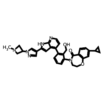 CN1CC(n2cc(-c3cc4c(-c5cccc(N6CCOc7cc(C8CC8)ccc7C6=O)c5CO)ccnc4[nH]3)cn2)C1